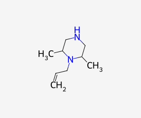 C=CCN1C(C)CNCC1C